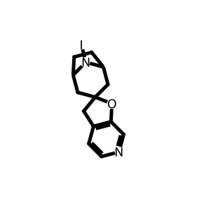 IN1C2CCC1CC1(Cc3ccncc3O1)C2